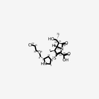 C[C@@H]1C(S[C@@H]2CN[C@H](COCCCl)C2)=C(C(=O)O)N2C(=O)[C@H]([C@@H](C)O)[C@@H]12